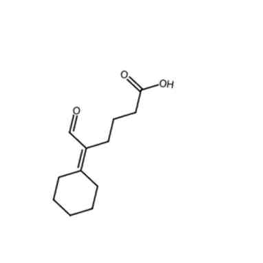 O=CC(CCCC(=O)O)=C1CCCCC1